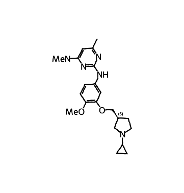 CNc1cc(C)nc(Nc2ccc(OC)c(OC[C@H]3CCN(C4CC4)C3)c2)n1